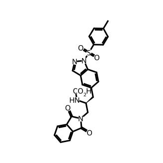 Cc1ccc(S(=O)(=O)n2ncc3cc(C[C@@H](CN4C(=O)c5ccccc5C4=O)NC(=O)O)ccc32)cc1